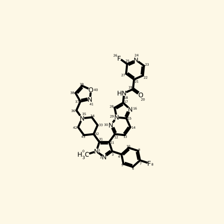 Cn1nc(-c2ccc(F)cc2)c(-c2ccc3nc(NC(=O)c4ccnc(F)c4)cn3n2)c1C1CCN(Cc2ccon2)CC1